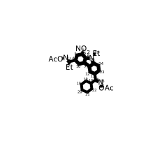 CC/C(=N\OC(C)=O)c1cc([N+](=O)[O-])c2c(c1)c1cc(/C(=N/OC(C)=O)C3CCCCC3)ccc1n2CC